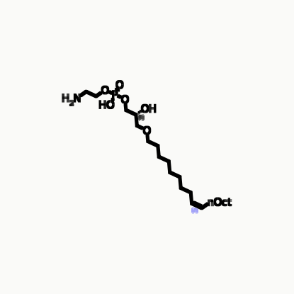 CCCCCCCC/C=C\CCCCCCCCOC[C@@H](O)COP(=O)(O)OCCN